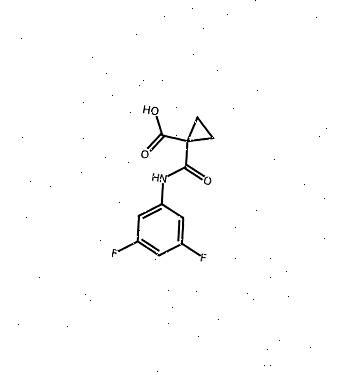 O=C(O)C1(C(=O)Nc2cc(F)cc(F)c2)CC1